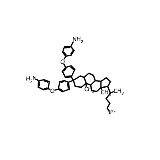 CC(C)CCCC(C)C1CCC2C3CCC4CC(c5ccc(Oc6ccc(N)cc6)cc5)(c5ccc(Oc6ccc(N)cc6)cc5)CCC4(C)C3CCC12C